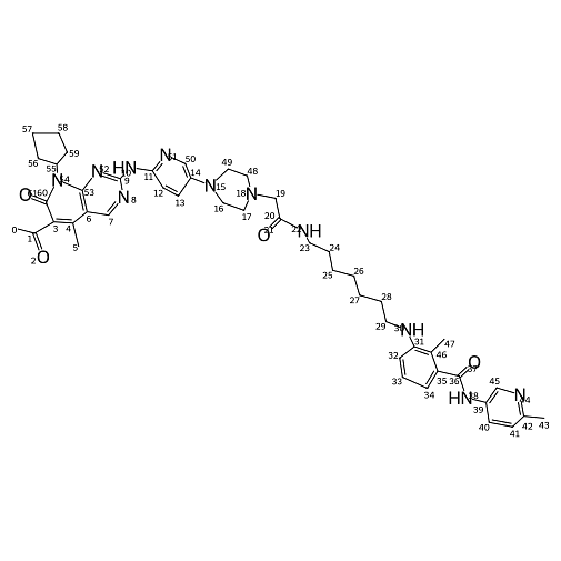 CC(=O)c1c(C)c2cnc(Nc3ccc(N4CCN(CC(=O)NCCCCCCCNc5cccc(C(=O)Nc6ccc(C)nc6)c5C)CC4)cn3)nc2n(C2CCCC2)c1=O